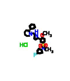 COc1ccc(S(=O)(=O)N(C)c2ccc(F)cc2)cc1-c1ccc(CN2CCCCC[C@@H]2c2ccccc2)[nH]1.Cl